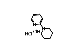 Cl.Cl.c1ccc(N2CCCCC2)nc1